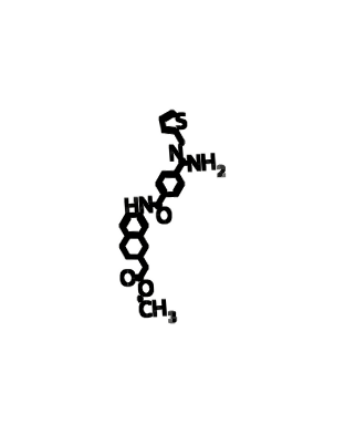 CCOC(=O)CC1CCc2ccc(NC(=O)c3ccc(C(N)=NCc4cccs4)cc3)cc2C1